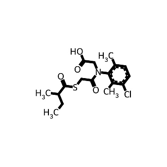 CCC(C)C(=O)SCC(=O)N(CC(=O)O)c1c(C)ccc(Cl)c1C